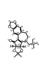 CC1(C)O[C@@H]2C(=O)C3=C([C@@H]2O1)N(C[Si](C)(C)C)CCc1cc2c(cc13)OCO2